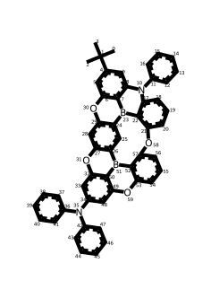 CC(C)(C)c1cc2c3c(c1)N(c1ccccc1)c1cccc4c1B3c1cc3c(cc1O2)Oc1cc(N(c2ccccc2)c2ccccc2)cc2c1B3c1c(cccc1O4)O2